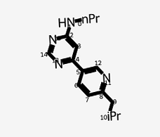 CCCNc1cc(-c2ccc(CC(C)C)nc2)ncn1